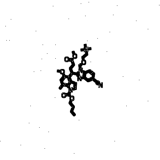 CCCCOC(=O)n1ccc2c(C(CCC(=O)OC)c3nc4cc(C#N)ccc4n3COCC[Si](C)(C)C)c(OC)cc(C)c21